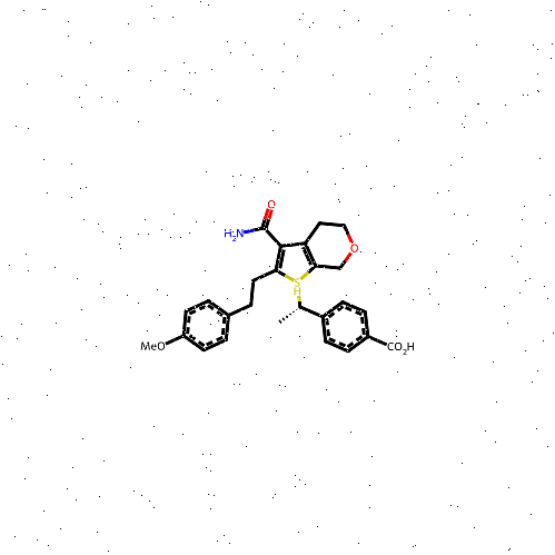 COc1ccc(CCC2=C(C(N)=O)C3=C(COCC3)[SH]2[C@@H](C)c2ccc(C(=O)O)cc2)cc1